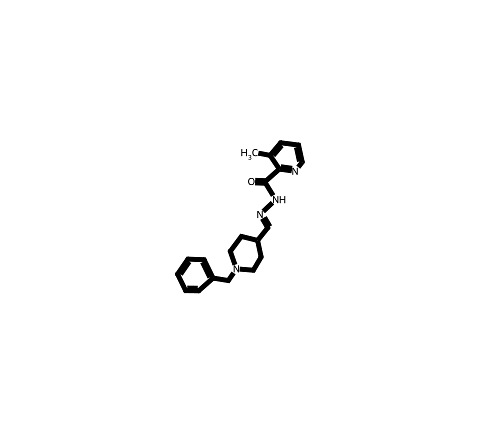 Cc1cccnc1C(=O)NN=CC1CCN(Cc2ccccc2)CC1